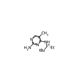 CC[C@@H](Nc1nc(N)ncc1C)C(C)(C)C